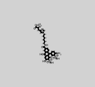 N=c1ccc2c(-c3ccc(C(=O)NCCCCCCn4cc(CC(N)C(=O)O)nn4)cc3C(=O)O)c3ccc(N)c(S(=O)(=O)O)c3oc-2c1S(=O)(=O)O